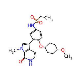 CCS(=O)(=O)Nc1ccc(O[C@H]2CC[C@@H](OC)CC2)c(-c2cn(C)c3c(=O)[nH]ccc23)c1